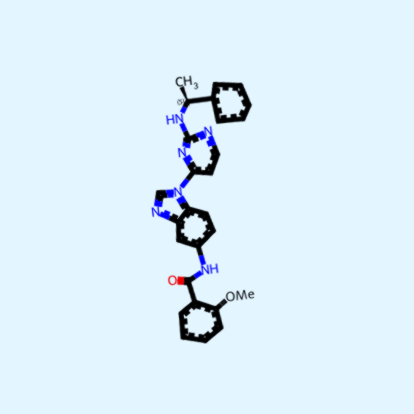 COc1ccccc1C(=O)Nc1ccc2c(c1)ncn2-c1ccnc(N[C@@H](C)c2ccccc2)n1